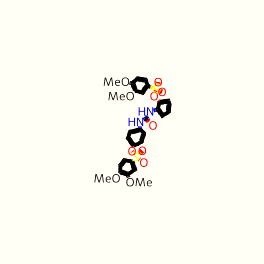 COc1ccc(S(=O)(=O)Oc2ccc(NC(=O)Nc3ccccc3OS(=O)(=O)c3ccc(OC)c(OC)c3)cc2)cc1OC